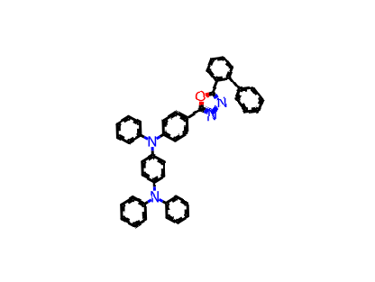 c1ccc(-c2ccccc2-c2nnc(-c3ccc(N(c4ccccc4)c4ccc(N(c5ccccc5)c5ccccc5)cc4)cc3)o2)cc1